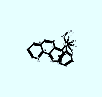 C[O][Cu]([F])([F])([F])([F])([c]1ccccc1)[c]1ccnc2c1ccc1cccnc12